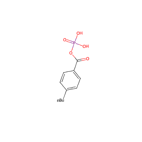 CCCCc1ccc(C(=O)OP(=O)(O)O)cc1